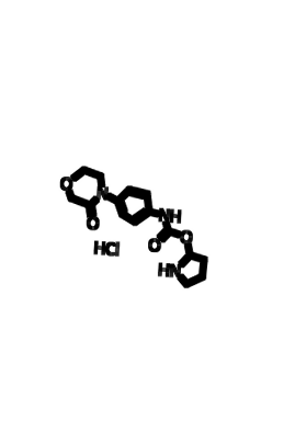 Cl.O=C(Nc1ccc(N2CCOCC2=O)cc1)OC1CCCN1